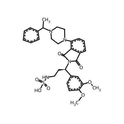 COc1ccc([C@@H](CCNS(=O)(=O)O)N2C(=O)c3cccc(N4CCN(C(C)c5ccccc5)CC4)c3C2=O)cc1OC